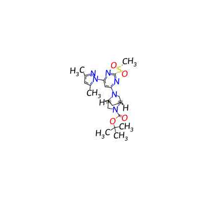 Cc1cc(C)n(-c2cc(N3C[C@H]4C[C@@H]3CN4C(=O)OC(C)(C)C)nc(S(C)(=O)=O)n2)n1